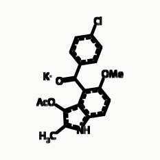 COc1ccc2[nH]c(C)c(OC(C)=O)c2c1C(=O)c1ccc(Cl)cc1.[K]